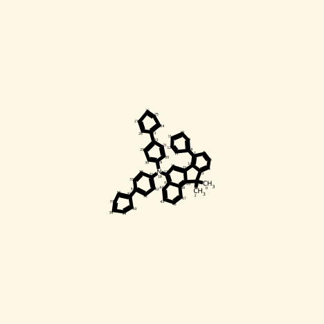 CC1(C)c2cccc(-c3ccccc3)c2-c2cc(N(c3ccc(-c4ccccc4)cc3)c3ccc(-c4ccccc4)cc3)c3ccccc3c21